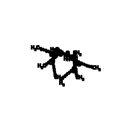 C=CCOP(=O)(OCCNC(=O)NCCOP(=O)(OCC=C)OCC(COCCC(CCCCCCC)OC(=O)CCCCCCCCCCC)NC(=O)CC(=O)CCCCCCCCCCC)OCC(COCCC(CCCCCCC)OC(=O)CCCCCCCCCCC)NC(=O)CC(=O)CCCCCCCCCCC